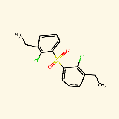 CCc1cccc(S(=O)(=O)c2cccc(CC)c2Cl)c1Cl